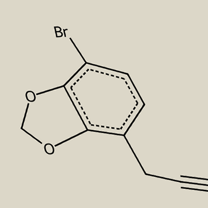 N#CCc1ccc(Br)c2c1OCO2